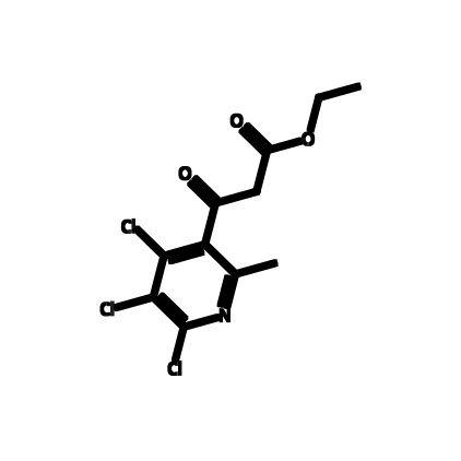 CCOC(=O)CC(=O)c1c(C)nc(Cl)c(Cl)c1Cl